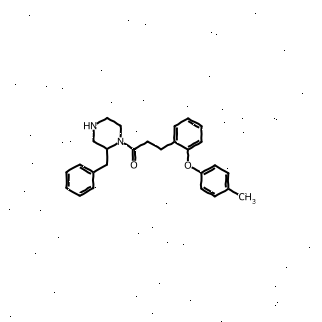 Cc1ccc(Oc2ccccc2CCC(=O)N2CCNCC2Cc2ccccc2)cc1